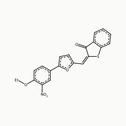 CCOc1ccc(-c2ccc(C=C3Sc4ccccc4C3=O)o2)cc1[N+](=O)[O-]